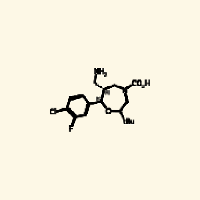 CC(C)(C)C1CN(C(=O)O)C[C@@H](CN)[C@H](c2ccc(Cl)c(F)c2)O1